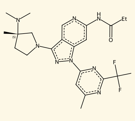 CCC(=O)Nc1cc2c(cn1)c(N1CC[C@](C)(N(C)C)C1)nn2-c1cc(C)nc(C(C)(F)F)n1